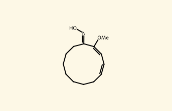 COC1=CC=CCCCCCCCC1=NO